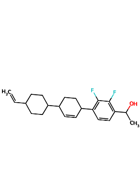 C=CC1CCC(C2C=CC(c3ccc(C(C)O)c(F)c3F)CC2)CC1